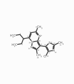 CCC(CC)c1cc(C)nc2c(-c3sc(C)nc3Cl)c(C)nn12